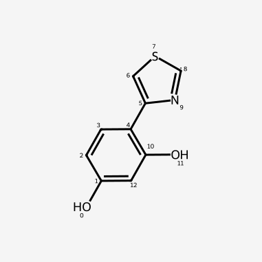 Oc1ccc(-c2cs[c]n2)c(O)c1